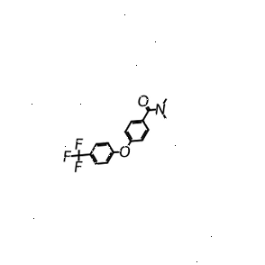 CN(C)C(=O)c1ccc(Oc2ccc(C(F)(F)F)cc2)cc1